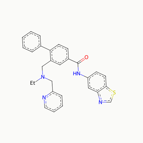 CCN(Cc1ccccn1)Cc1cc(C(=O)Nc2ccc3scnc3c2)ccc1-c1ccccc1